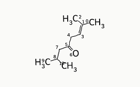 CC(C)=CCC(=O)CC(C)C